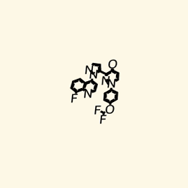 O=c1ccn(-c2ccc(OC(F)F)cc2)nc1-c1ccnn1-c1ccnc2c(F)cccc12